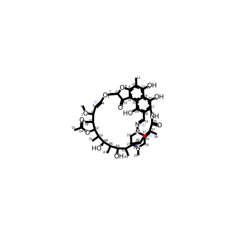 COC1/C=C/OC2(C)Oc3c(C)c(O)c4c(O)c(c(/C=N/N5CCN(C)CC5)c(O)c4c3C2=O)NC(=O)/C(C)=C/C=C/C(C)C(O)C(C)C(O)C(C)C(OC(C)=O)C1C